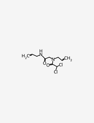 C=CCNC(=O)CN(CC=C)C(=O)C(Cl)Cl